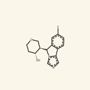 O[C@@H]1CCOC[C@H]1C1c2cc(F)ccc2-c2cncn21